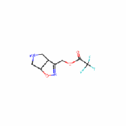 O=C(OCC1=NOC2CNCC12)C(F)(F)F